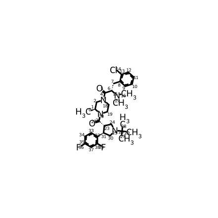 C[C@H]1CN(C(=O)[C@H](Cc2ccccc2Cl)N(C)C)CCN1C(=O)[C@@H]1CN(C(C)(C)C)C[C@H]1c1ccc(F)cc1F